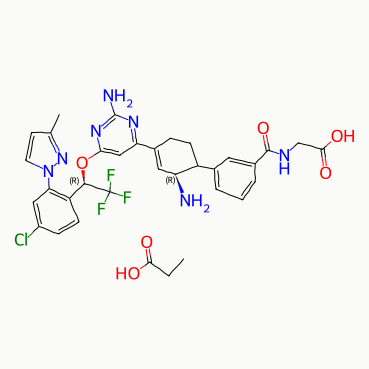 CCC(=O)O.Cc1ccn(-c2cc(Cl)ccc2[C@@H](Oc2cc(C3=C[C@H](N)C(c4cccc(C(=O)NCC(=O)O)c4)CC3)nc(N)n2)C(F)(F)F)n1